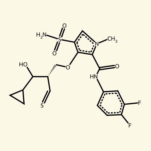 Cn1cc(S(N)(=O)=O)c(OC[C@H](C=S)C(O)C2CC2)c1C(=O)Nc1ccc(F)c(F)c1